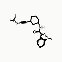 Cn1nc(C(=O)NC2CCCC(C#CSP(I)I)C2)c2ccccc21